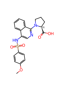 COc1ccc(S(=O)(=O)Nc2cnc(N3CCC[C@H]3C(=O)O)c3ccccc23)cc1